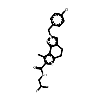 Cc1c(C(=O)NCC(F)F)oc2c1-c1nn(Cc3ccc(Cl)cc3)cc1CC2